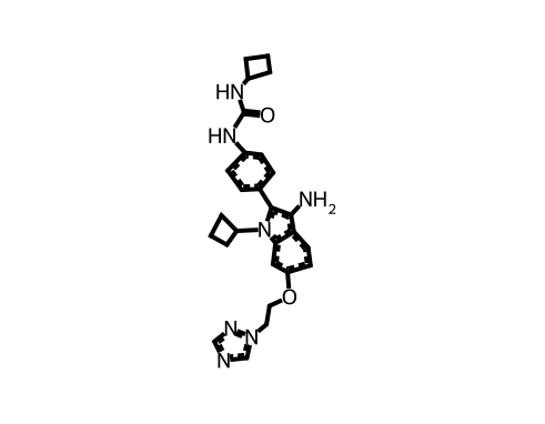 Nc1c(-c2ccc(NC(=O)NC3CCC3)cc2)n(C2CCC2)c2cc(OCCn3cncn3)ccc12